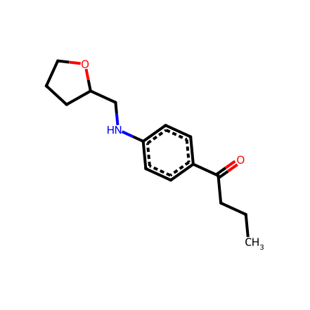 CCCC(=O)c1ccc(NCC2CCCO2)cc1